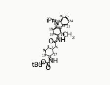 Cc1c(NC(=O)CC2CCCC(NC(=O)OC(C)(C)C)C2)ccc2c1c1ccccc1n2C(C)C